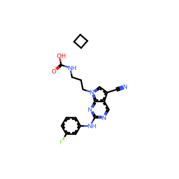 C1CCC1.N#Cc1cn(CCCNC(=O)O)c2nc(Nc3cccc(F)c3)ncc12